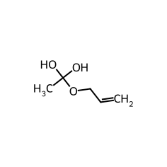 C=CCOC(C)(O)O